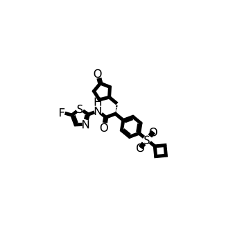 O=C1CCC(C[C@@H](C(=O)Nc2ncc(F)s2)c2ccc(S(=O)(=O)C3CCC3)cc2)C1